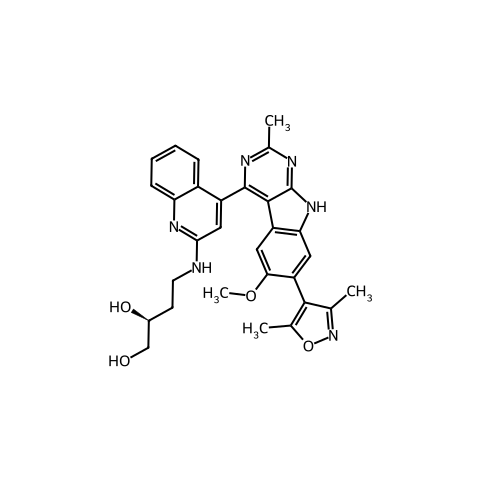 COc1cc2c(cc1-c1c(C)noc1C)[nH]c1nc(C)nc(-c3cc(NCC[C@H](O)CO)nc4ccccc34)c12